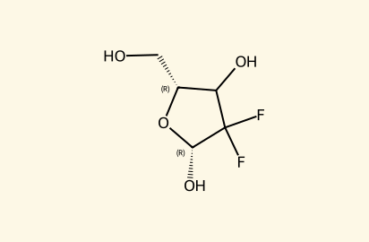 OC[C@H]1O[C@@H](O)C(F)(F)C1O